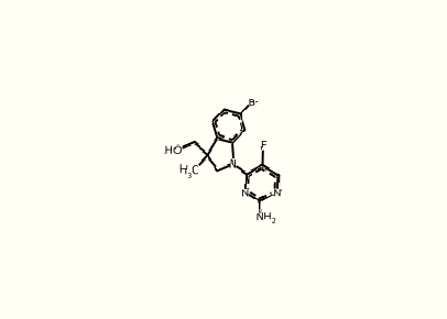 CC1(CO)CN(c2nc(N)ncc2F)c2cc(Br)ccc21